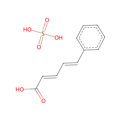 O=C(O)C=CC=Cc1ccccc1.O=S(=O)(O)O